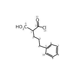 O=C(O)C(CCCc1ccccc1)C(=O)Cl